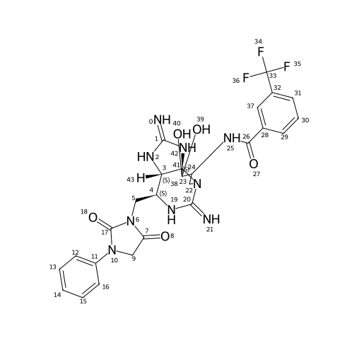 N=C1N[C@H]2[C@H](CN3C(=O)CN(c4ccccc4)C3=O)NC(=N)N3CC(NC(=O)c4cccc(C(F)(F)F)c4)C(O)(O)[C@]23N1